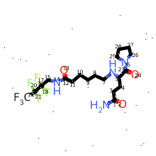 NC(=O)CCC(NCCCCCC(=O)NCC(F)(F)C(F)(F)C(F)(F)F)C(=O)N1CCCC1